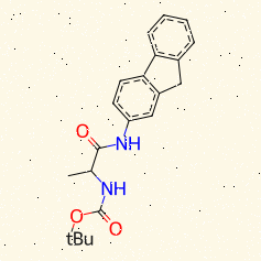 CC(NC(=O)OC(C)(C)C)C(=O)Nc1ccc2c(c1)Cc1ccccc1-2